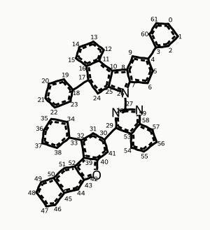 c1ccc(-c2ccc3c(c2)c2c4ccccc4c(-c4ccccc4)cc2n3-c2nc(-c3cc(-c4ccccc4)c4c(c3)oc3cc5ccccc5cc34)c3ccccc3n2)cc1